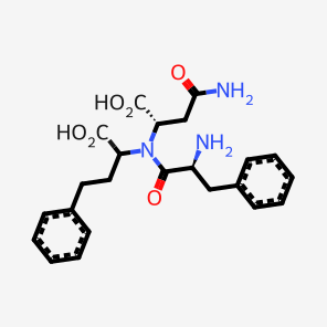 NC(=O)C[C@@H](C(=O)O)N(C(=O)[C@@H](N)Cc1ccccc1)C(CCc1ccccc1)C(=O)O